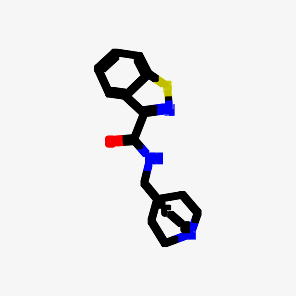 O=C(NCC12CCN(CC1)CC2)c1nsc2ccccc12